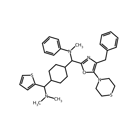 CN(C)C(c1cccs1)C1CCC(C(c2nc(Cc3ccccc3)c(N3CCSCC3)o2)N(C)c2ccccc2)CC1